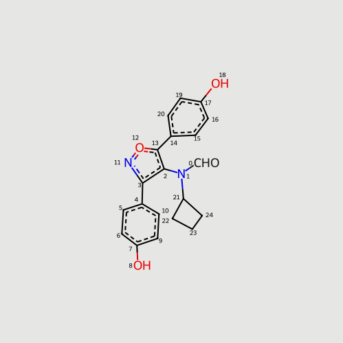 O=CN(c1c(-c2ccc(O)cc2)noc1-c1ccc(O)cc1)C1CCC1